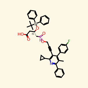 Cc1c(-c2ccccc2)nc(C2CC2)c(C#CCO[PH](=O)C[C@H](CC(=O)O)O[Si](c2ccccc2)(c2ccccc2)C(C)(C)C)c1-c1ccc(F)cc1